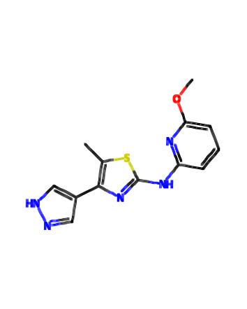 COc1cccc(Nc2nc(-c3cn[nH]c3)c(C)s2)n1